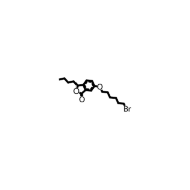 CCCCC1OC(=O)c2cc(OCCCCCCBr)ccc21